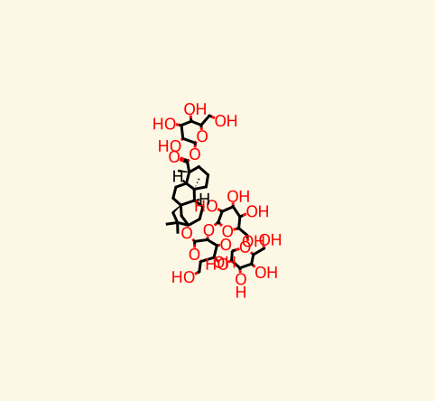 CC1(C)C[C@@]23CC[C@H]4[C@@](C)(CCC[C@@]4(C)C(=O)OC4OC(CO)C(O)C(O)C4O)[C@@H]2CC[C@]1(OC1OC(CO)C(O)C(OC2OC(CO)C(O)C(O)C2O)C1OC1OC(CO)C(O)C(O)C1O)C3